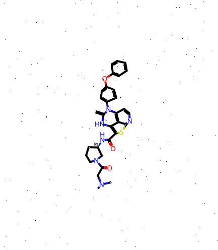 C=c1[nH]c2c(C(=O)N[C@@H]3CCCN(C(=O)CN(C)C)C3)sc3nccc(c32)n1-c1ccc(Oc2ccccc2)cc1